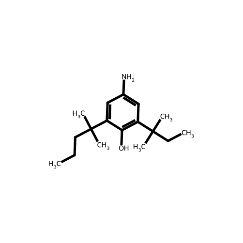 CCCC(C)(C)c1cc(N)cc(C(C)(C)CC)c1O